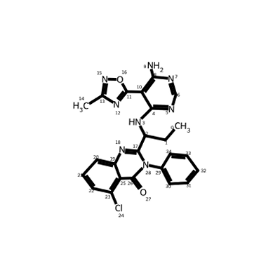 CCC(Nc1ncnc(N)c1-c1nc(C)no1)c1nc2cccc(Cl)c2c(=O)n1-c1ccccc1